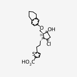 O=C(O)c1ccc(CCC[C@@H]2[C@@H](COc3ccc4c(c3)CCCC4)[C@H](O)C[C@H]2Cl)s1